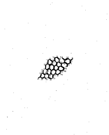 Cc1cc(C)c(-c2c3cccc4c5ccc6ccc7c(-c8c(C)cc(C)cc8C)c8cccc9c%10ccc%11ccc2c2c%11c%10c%10c(c89)c7c6c5c%10c2c34)c(C)c1